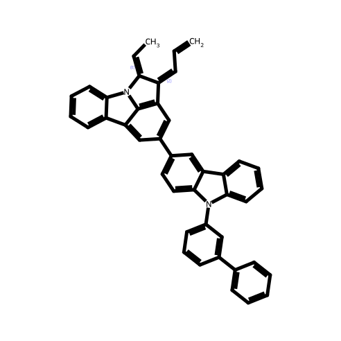 C=C/C=c1\c(=C/C)n2c3ccccc3c3cc(-c4ccc5c(c4)c4ccccc4n5-c4cccc(-c5ccccc5)c4)cc1c32